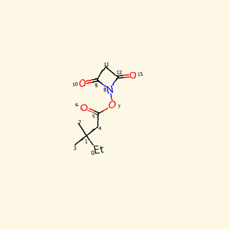 CCC(C)(C)CC(=O)ON1C(=O)CC1=O